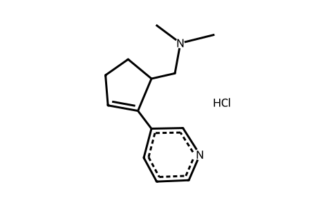 CN(C)CC1CCC=C1c1cccnc1.Cl